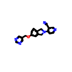 N#Cc1cnccc1N1Cc2ccc(OCc3cncnc3)cc2C1